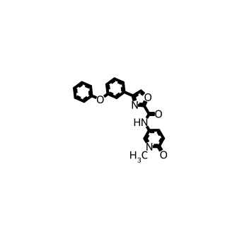 Cn1cc(NC(=O)c2nc(-c3cccc(Oc4ccccc4)c3)co2)ccc1=O